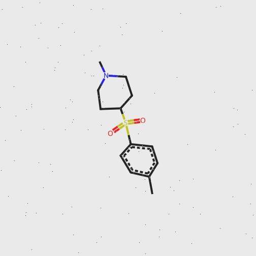 Cc1ccc(S(=O)(=O)C2CCN(C)CC2)cc1